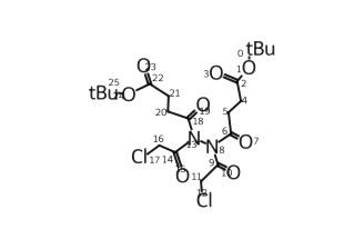 CC(C)(C)OC(=O)CCC(=O)N(C(=O)CCl)N(C(=O)CCl)C(=O)CCC(=O)OC(C)(C)C